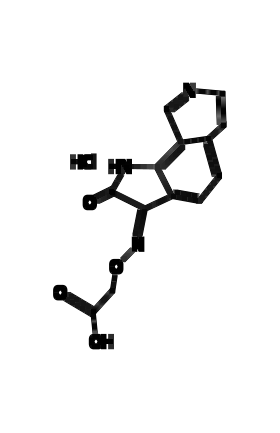 Cl.O=C(O)CON=C1C(=O)Nc2c1ccc1ccncc21